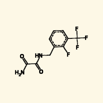 NC(=O)C(=O)NCc1cccc(C(F)(F)F)c1F